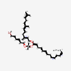 CCCCC/C=C\C/C=C\CCCCCCCC(OC/C=C(\C)CC/C=C(\C)CCC=C(C)C)O[Si](C)(C)OCCCCCCBr